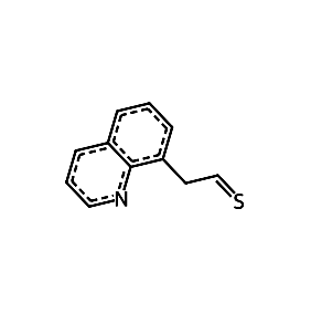 S=CCc1cccc2cccnc12